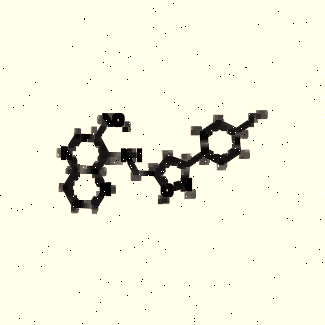 O=[N+]([O-])c1cnc2cccnc2c1NCc1cc(-c2ccc(F)cc2)no1